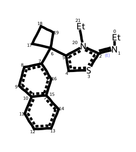 CC/N=c1/scc(C2(c3ccc4ccccc4c3)CCC2)n1CC